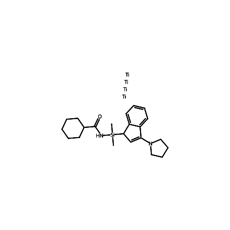 C[Si](C)(NC(=O)C1CCCCC1)C1C=C(N2CCCC2)c2ccccc21.[Ti].[Ti].[Ti].[Ti]